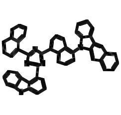 c1ccc2cc3c(cc2c1)c1ccccc1n3-c1cccc2c(-c3nc(-c4cccc5ccccc45)nc(-c4cccc5sc6ccccc6c45)n3)cccc12